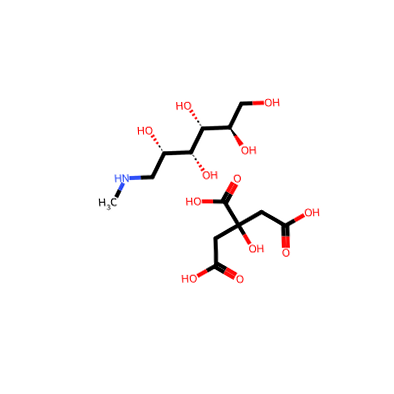 CNC[C@H](O)[C@@H](O)[C@H](O)[C@H](O)CO.O=C(O)CC(O)(CC(=O)O)C(=O)O